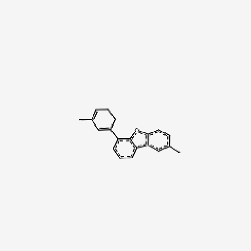 CC1=CCCC(c2cccc3c2oc2ccc(C)cc23)=C1